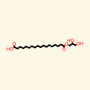 O=C(O)CCCCCCCCCCCCCCCCC(=O)OCC(O)CO